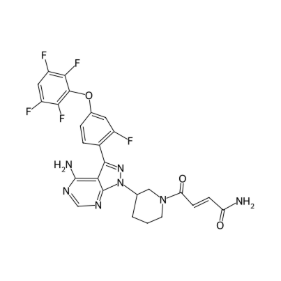 NC(=O)C=CC(=O)N1CCCC(n2nc(-c3ccc(Oc4c(F)c(F)cc(F)c4F)cc3F)c3c(N)ncnc32)C1